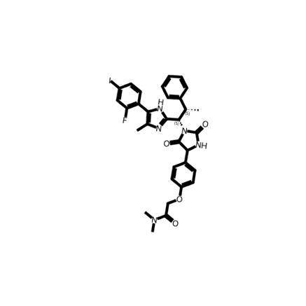 Cc1nc([C@H]([C@@H](C)c2ccccc2)N2C(=O)NC(c3ccc(OCC(=O)N(C)C)cc3)C2=O)[nH]c1-c1ccc(I)cc1F